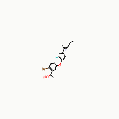 CC/C=C(\C)c1ccc(Oc2ccc(Br)c(C(C)O)c2)c(F)c1